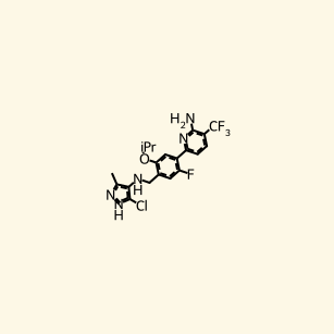 Cc1n[nH]c(Cl)c1NCc1cc(F)c(-c2ccc(C(F)(F)F)c(N)n2)cc1OC(C)C